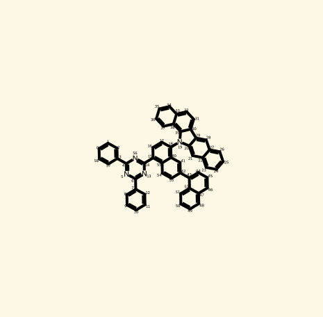 c1ccc(-c2nc(-c3ccccc3)nc(-c3ccc(-n4c5cc6ccccc6cc5c5ccc6ccccc6c54)c4cc(-c5cccc6ccccc56)ccc34)n2)cc1